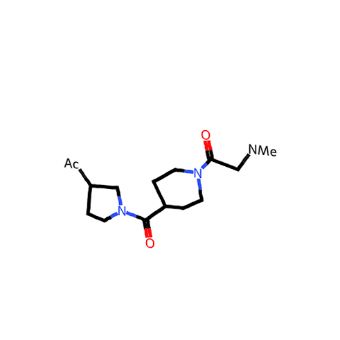 CNCC(=O)N1CCC(C(=O)N2CCC(C(C)=O)C2)CC1